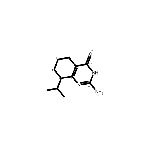 CC(C)C1CCCc2c1nc(N)[nH]c2=O